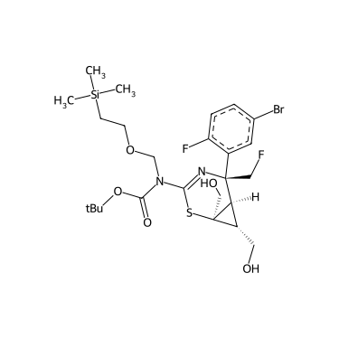 CC(C)(C)OC(=O)N(COCC[Si](C)(C)C)C1=N[C@](CF)(c2cc(Br)ccc2F)[C@H]2[C@H](CO)[C@@]2(CO)S1